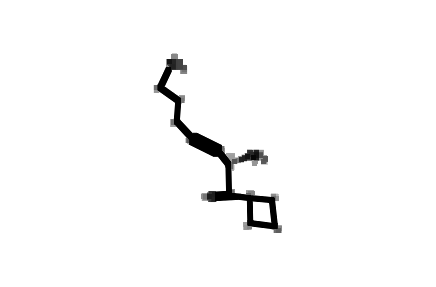 NCCCC#C[C@H](N)C(=O)C1CCC1